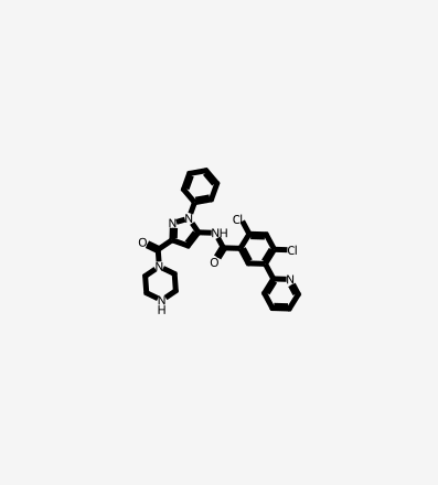 O=C(Nc1cc(C(=O)N2CCNCC2)nn1-c1ccccc1)c1cc(-c2ccccn2)c(Cl)cc1Cl